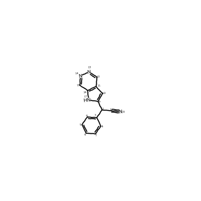 N#CC(c1ccccc1)c1cc2cnncc2[nH]1